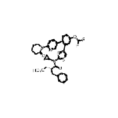 O=C(O)C[C@@H](Cc1ccccc1)C(=O)N(c1nc(-c2cc(OC(F)F)ccc2-c2ccc(N3CCCCC3=O)nc2)cs1)C1CC1